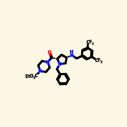 CCOC(=O)N1CCN(C(=O)[C@@H]2C[C@H](NCc3cc(C(F)(F)F)cc(C(F)(F)F)c3)CN2Cc2ccccc2)CC1